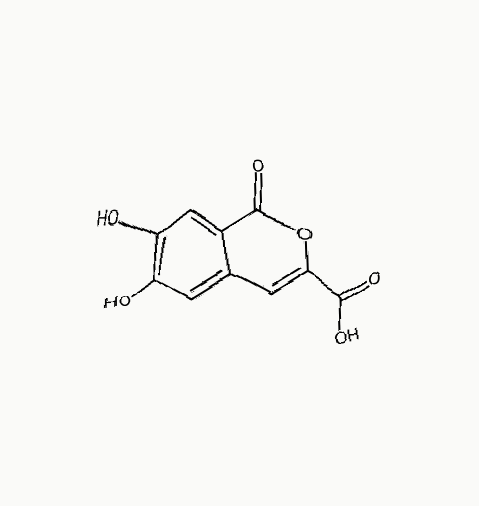 O=C(O)c1cc2cc(O)c(O)cc2c(=O)o1